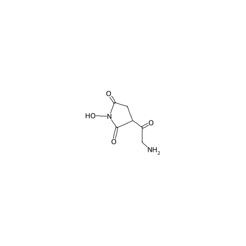 NCC(=O)C1CC(=O)N(O)C1=O